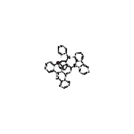 c1ccc2c(c1)Oc1cc(-n3c4ccccc4c4cccc(-n5c6ccccc6c6ccccc65)c43)cc3c1B2Oc1ccccc1-3